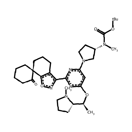 C[C@H](Oc1cc(N2CC[C@H](N(C)C(=O)OC(C)(C)C)C2)nc(-c2noc3c2CCC[C@@]32CCCCC2=O)n1)[C@@H]1CCCN1C